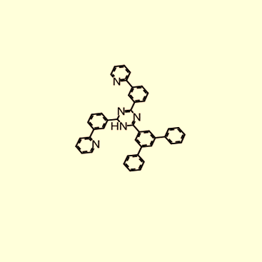 c1ccc(-c2cc(C3=NC(c4cccc(-c5ccccn5)c4)=NC(c4cccc(-c5ccccn5)c4)N3)cc(-c3ccccc3)c2)cc1